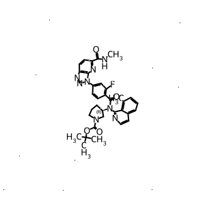 CNC(=O)c1ccc2nnn(-c3ccc(C(=O)N(c4nccc5cccc(C)c45)[C@@H]4CCCN(C(=O)OC(C)(C)C)C4)c(F)c3)c2n1